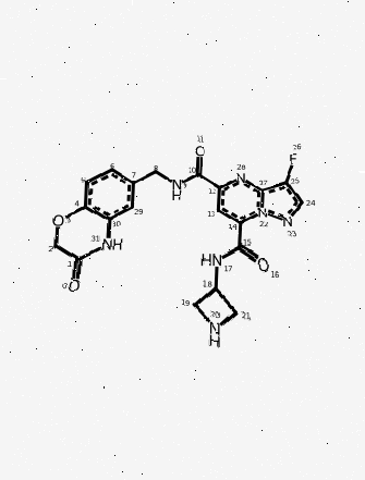 O=C1COc2ccc(CNC(=O)c3cc(C(=O)NC4CNC4)n4ncc(F)c4n3)cc2N1